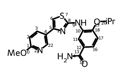 COc1ccc(-c2csc(Nc3cc(C(N)=O)ccc3OC(C)C)n2)cn1